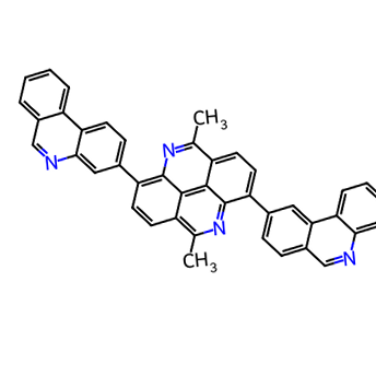 Cc1nc2c(-c3ccc4cnc5ccccc5c4c3)ccc3c(C)nc4c(-c5ccc6c(c5)ncc5ccccc56)ccc1c4c32